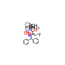 CC1(C)C2CC[C@]13CS(=O)(=O)N(C(=O)[C@@H](CCF)N=C(c1ccccc1)c1ccccc1)[C@H]3C2